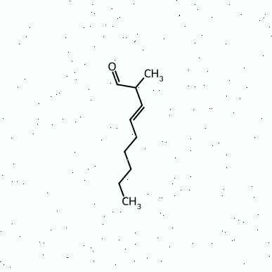 CCCCC/C=C/C(C)C=O